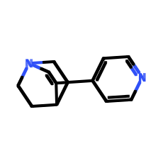 C1=C(c2ccncc2)C2CCN1CC2